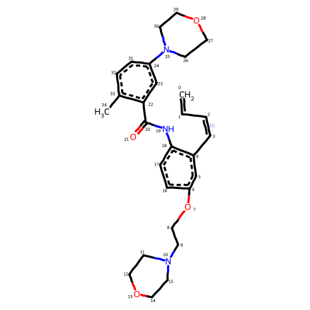 C=C/C=C\c1cc(OCCN2CCOCC2)ccc1NC(=O)c1cc(N2CCOCC2)ccc1C